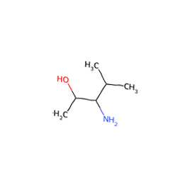 [CH2]C(O)C(N)C(C)C